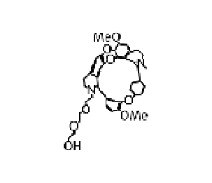 COC1=CC2=C3C4Oc5cc6c(cc5OC14)CCN(CCOCCOCCO)C6Cc1ccc(OC)c(c1)Oc1ccc(cc1)CC3N(C)CC2